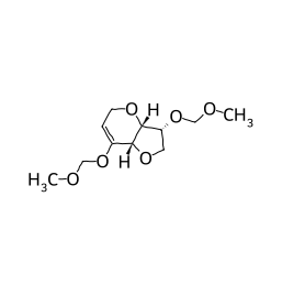 COCOC1=CCO[C@H]2[C@@H]1OC[C@H]2OCOC